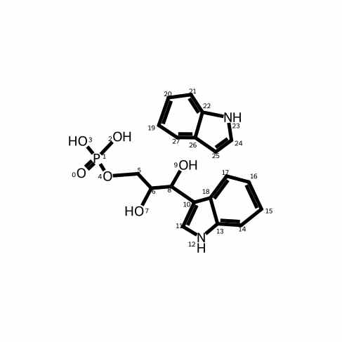 O=P(O)(O)OCC(O)C(O)c1c[nH]c2ccccc12.c1ccc2[nH]ccc2c1